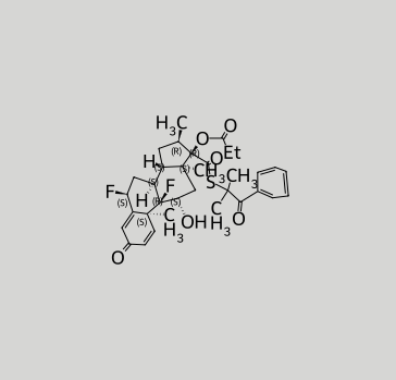 CCC(=O)O[C@]1(C(=O)SC(C)(C)C(=O)c2ccccc2)[C@H](C)C[C@H]2[C@@H]3C[C@H](F)C4=CC(=O)C=C[C@]4(C)[C@@]3(F)[C@@H](O)C[C@@]21C